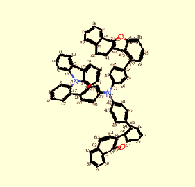 c1ccc(-n2c3ccccc3c3ccccc32)c(-c2ccc(N(c3ccc(-c4cccc5oc6c7ccccc7ccc6c45)cc3)c3ccc(-c4cccc5oc6c7ccccc7ccc6c45)cc3)cc2)c1